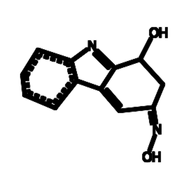 ON=C1C=C2C(=Nc3ccccc32)C(O)C1